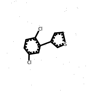 Clc1ccc(Cl)c(-c2c[c]sc2)c1